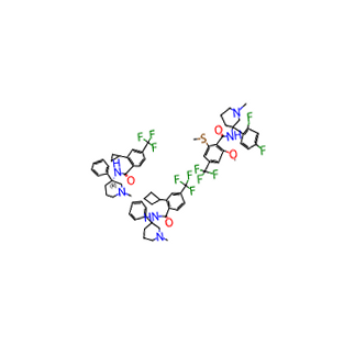 CN1CCCC(NC(=O)c2ccc(C(F)(F)F)cc2C2CCC2)(c2ccccc2)C1.CN1CCC[C@@](NC(=O)c2ccc(C(F)(F)F)cc2C2CC2)(c2ccccc2)C1.COc1cc(C(F)(F)F)cc(SC)c1C(=O)NC1(c2ccc(F)cc2F)CCCN(C)C1